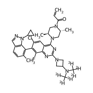 [2H]C([2H])([2H])N(C1CN(c2nc(N3C[C@@H](C)N(C(=O)C=C)C[C@@H]3C)c3cc(Cl)c(-c4c(C)ccc5cnn(C6CC6)c45)c(F)c3n2)C1)C([2H])([2H])[2H]